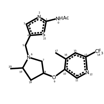 CC(=O)Nc1ncc(CN2CC(Oc3cnc(C(F)(F)F)cc3C)CC2C)s1